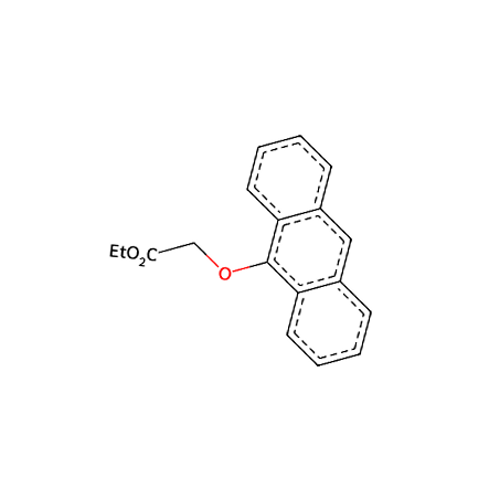 CCOC(=O)COc1c2ccccc2cc2ccccc12